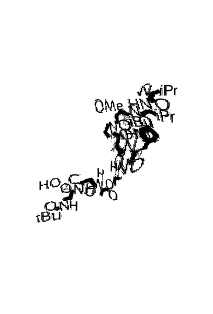 CC[C@H](C)[C@@H]([C@@H](CC(=O)N1CCC[C@H]1[C@H](OC)[C@@H](C)C(=O)N[C@@H](Cc1ccccc1)C(=O)NCCCOC(=O)C(C)NC(=O)CC(NC(=O)CCNC(=O)C(C)(C)C)C(=O)O)OC)N(C)C(=O)C(NC(=O)C(C(C)C)N(C)C)C(C)C